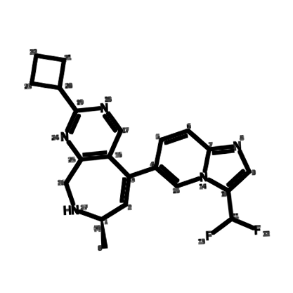 C[C@@H]1C=C(c2ccc3ncc(C(F)F)n3c2)c2cnc(C3CCC3)nc2CN1